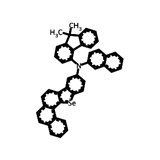 CC1(C)c2ccccc2-c2c(N(c3ccc4ccccc4c3)c3ccc4[se]c5c(ccc6ccc7ccccc7c65)c4c3)cccc21